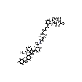 Nc1ncnc2c1c(-c1ccc(Oc3ccccc3)cc1)nn2[C@@H]1CCCN(C(=O)/C=C/CN2CCN(CCCSc3cccc4c3CN(C3CCC(=O)NC3=O)C4=O)CC2)C1